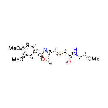 COCCNC(=O)CSCc1nc(-c2ccc(OC)c(OC)c2)oc1C